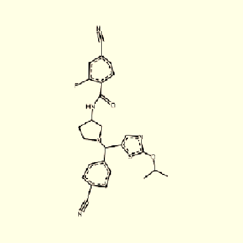 CC(C)Oc1ncc(C(c2ccc(C#N)cc2)N2CCC(NC(=O)c3ccc(C#N)cc3F)C2)s1